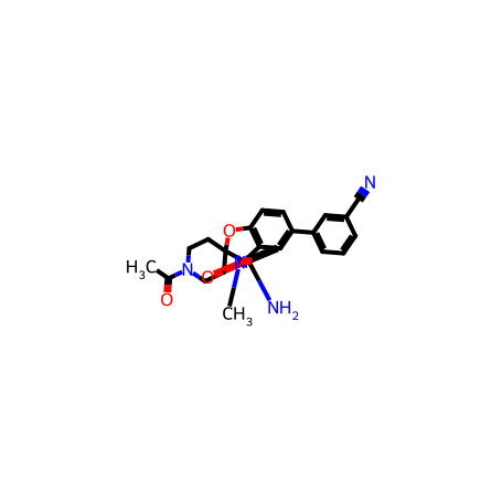 CC(=O)N1CCC2(CC1)Oc1ccc(-c3cccc(C#N)c3)cc1C21N=C(N)N(C)C1=O